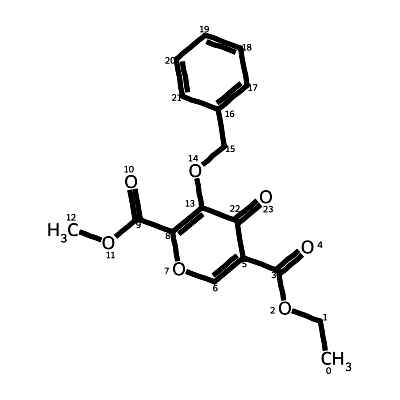 CCOC(=O)c1coc(C(=O)OC)c(OCc2ccccc2)c1=O